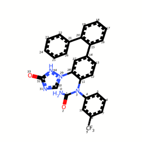 NC(=O)N(c1cccc(C(F)(F)F)c1)c1ccc(-c2ccccc2-c2ccccc2)cc1-n1cnc(=O)[nH]1